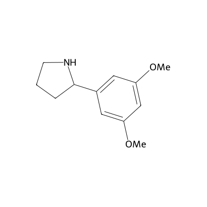 COc1cc(OC)cc(C2CCCN2)c1